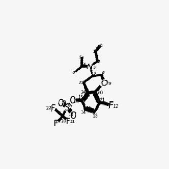 CCCN(C(C)C)[C@H]1COc2c(F)ccc(OS(=O)(=O)C(F)(F)F)c2C1